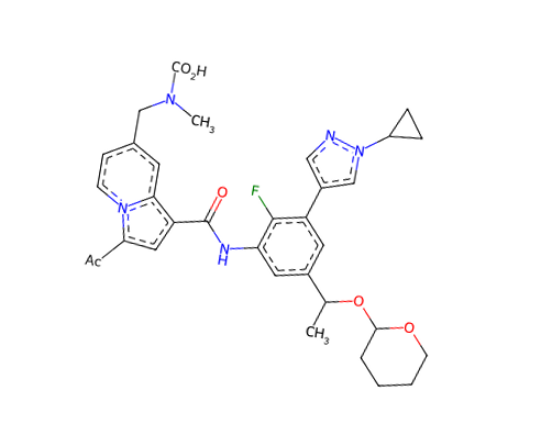 CC(=O)c1cc(C(=O)Nc2cc(C(C)OC3CCCCO3)cc(-c3cnn(C4CC4)c3)c2F)c2cc(CN(C)C(=O)O)ccn12